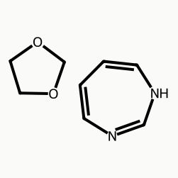 C1=CN=CNC=C1.C1COCO1